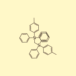 Cc1ccc([Si](C[Si](c2ccccc2)(c2ccccc2)c2ccc(C)cc2)(c2ccccc2)c2ccccc2)cc1